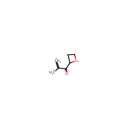 C=C(C)C(=O)[C]1CCO1